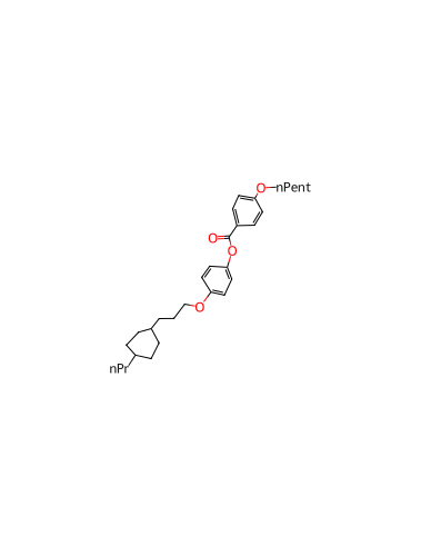 CCCCCOc1ccc(C(=O)Oc2ccc(OCCCC3CCC(CCC)CC3)cc2)cc1